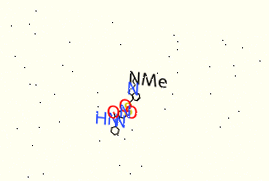 CNCCn1ccc2c(CCS(=O)(=O)N3CCC4(CC3)N=C(C3CCCCC3)NC4=O)cccc21